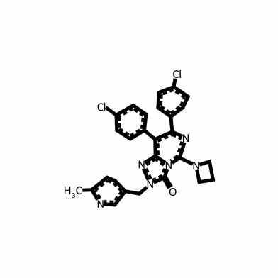 Cc1ccc(Cn2nc3c(-c4ccc(Cl)cc4)c(-c4ccc(Cl)cc4)nc(N4CCC4)n3c2=O)cn1